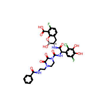 O=C(NCCN1CCN(C(=O)NC(C(=O)N[C@H]2Cc3ccc(F)c(C(=O)O)c3OB2O)c2cc(F)c(O)c(O)c2Cl)C(=O)C1=O)c1ccccc1